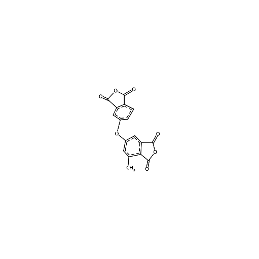 Cc1cc(Oc2ccc3c(c2)C(=O)OC3=O)cc2c1C(=O)OC2=O